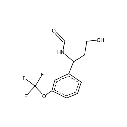 O=CNC(CCO)c1cccc(OC(F)(F)F)c1